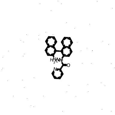 CNc1ccc2ccccc2c1-c1c(N(C)C(=O)c2ccccn2)ccc2ccccc12